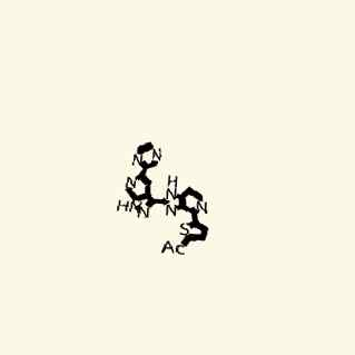 CC(=O)c1ccc(-c2nccc3[nH]c(-c4n[nH]c5cnc(-c6cnccn6)cc45)nc23)s1